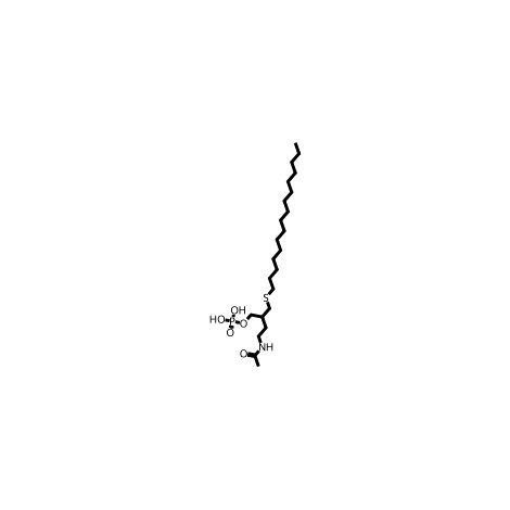 CCCCCCCCCCCCCCCCSCC(CCNC(C)=O)COP(=O)(O)O